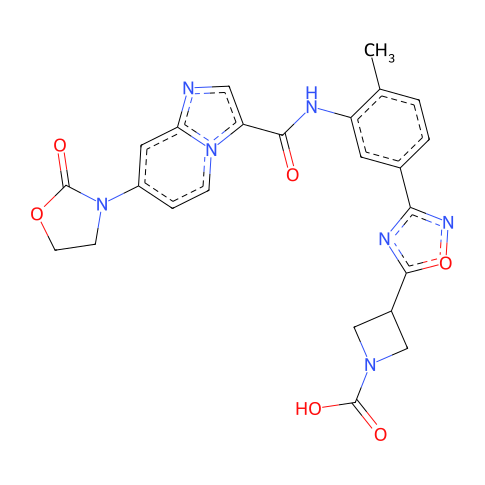 Cc1ccc(-c2noc(C3CN(C(=O)O)C3)n2)cc1NC(=O)c1cnc2cc(N3CCOC3=O)ccn12